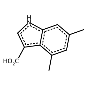 Cc1cc(C)c2c(C(=O)O)c[nH]c2c1